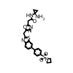 NC1(NC(=O)Cc2nnc(Cc3nc4ccc(-c5ccc(S(=O)(=O)N6CCC6)cc5)cc4s3)o2)CC1